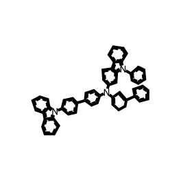 C1=C(c2ccccc2)CCC=C1N(c1ccc(-c2ccc(-n3c4ccccc4c4ccccc43)cc2)cc1)c1ccc2c3ccccc3n(-c3ccccc3)c2c1